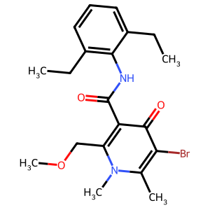 CCc1cccc(CC)c1NC(=O)c1c(COC)n(C)c(C)c(Br)c1=O